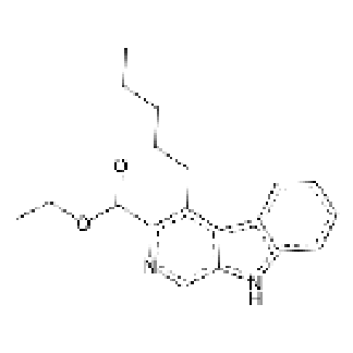 CCCCCc1c(C(=O)OCC)ncc2[nH]c3ccccc3c12